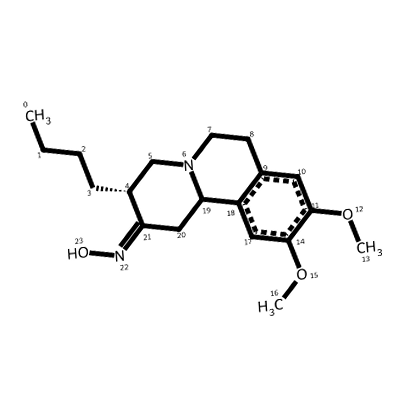 CCCC[C@@H]1CN2CCc3cc(OC)c(OC)cc3C2C/C1=N/O